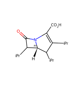 CC(C)C1=C(C(=O)O)N2C(=O)C(C(C)C)[C@H]2C1C(C)C